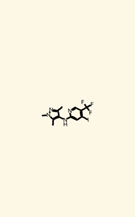 Cc1nn(C)c(C)c1Nc1cc(I)c(C(F)(F)F)cn1